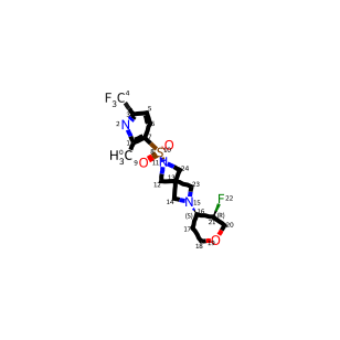 Cc1nc(C(F)(F)F)ccc1S(=O)(=O)N1CC2(CN([C@H]3CCOC[C@@H]3F)C2)C1